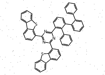 c1ccc(-c2ccccc2-c2cccc(-c3nc(-c4cccc5c4sc4ccccc45)nc(-c4cccc5c4sc4ccccc45)n3)c2-c2ccccc2)cc1